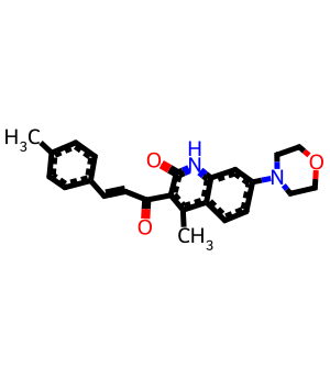 Cc1ccc(C=CC(=O)c2c(C)c3ccc(N4CCOCC4)cc3[nH]c2=O)cc1